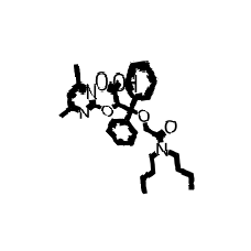 CCCCN(CCCC)C(=O)COC(c1ccccc1)(c1ccccc1)C(Oc1nc(C)cc(C)n1)C(=O)O